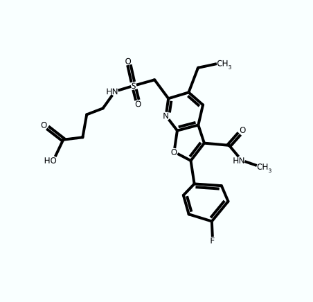 CCc1cc2c(C(=O)NC)c(-c3ccc(F)cc3)oc2nc1CS(=O)(=O)NCCCC(=O)O